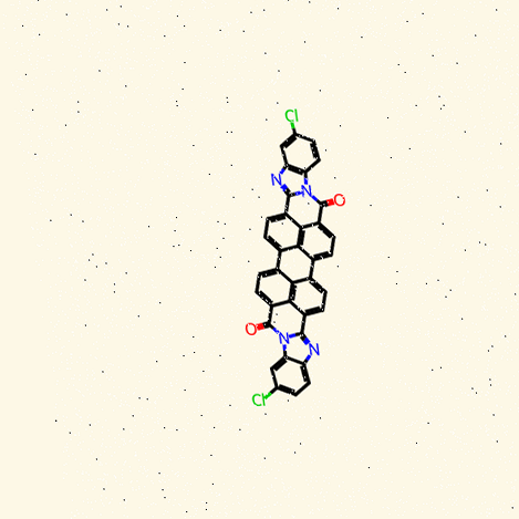 O=c1c2ccc3c4ccc5c6c(ccc(c7ccc(c2c73)c2nc3cc(Cl)ccc3n12)c46)c(=O)n1c2cc(Cl)ccc2nc51